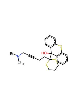 CCN(C)CC#CCCC1(C2(O)c3ccccc3Sc3ccccc32)SCCCS1